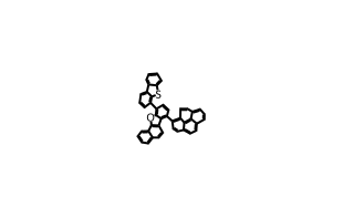 c1ccc2c(c1)ccc1c2oc2c(-c3cccc4c3sc3ccccc34)ccc(-c3ccc4ccc5cccc6ccc3c4c56)c21